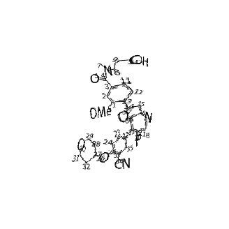 COc1cc(C(=O)N(C)CCO)ccc1-c1cc2ncc(F)c(-c3ccc(OC4CCOCC4)c(C#N)c3)c2o1